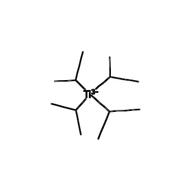 C[CH](C)[Ti-3]([CH](C)C)([CH](C)C)[CH](C)C